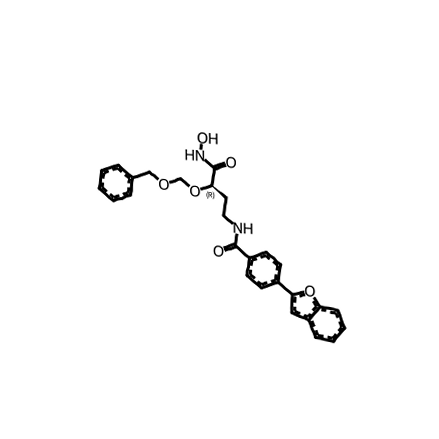 O=C(NCC[C@@H](OCOCc1ccccc1)C(=O)NO)c1ccc(-c2cc3ccccc3o2)cc1